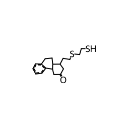 O=C1CC(CCSCCS)C2CCc3ccccc3C2C1